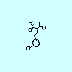 COC(=O)C(CCc1cccc(Cl)c1)C(C)=O